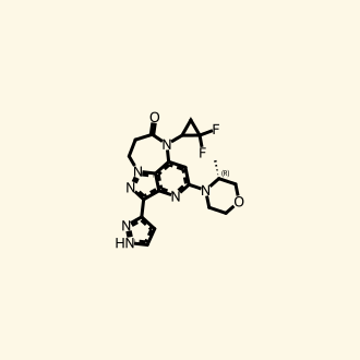 C[C@@H]1COCCN1c1cc2c3c(n1)c(-c1cc[nH]n1)nn3CCC(=O)N2C1CC1(F)F